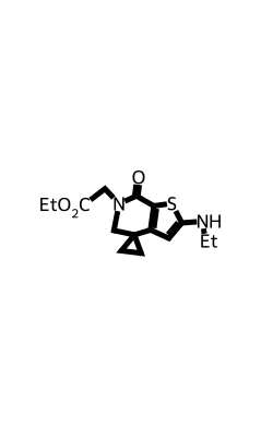 CCNc1cc2c(s1)C(=O)N(CC(=O)OCC)CC21CC1